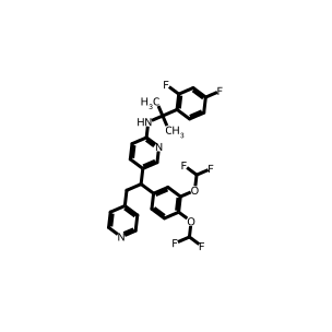 CC(C)(Nc1ccc(C(Cc2ccncc2)c2ccc(OC(F)F)c(OC(F)F)c2)cn1)c1ccc(F)cc1F